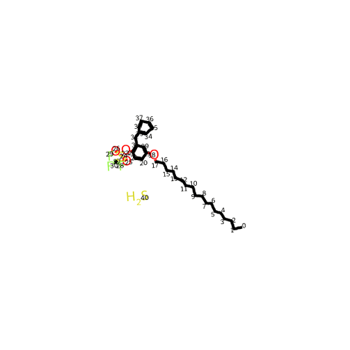 CCCCCCCCCCCCCCCCCCOc1ccc(OS(=O)(=O)C(F)(F)F)c(Cc2ccccc2)c1.S